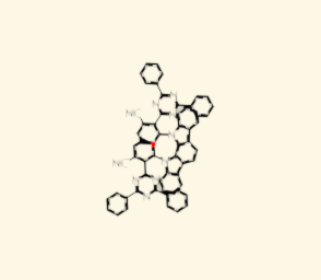 N#Cc1cccc(-n2c3ccccc3c3ccc4c5ccccc5n(-c5cccc(C#N)c5-c5nc(-c6ccccc6)nc(-c6ccccc6)n5)c4c32)c1-c1nc(-c2ccccc2)nc(-c2ccccc2)n1